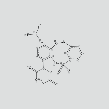 C=C(C)CC(C(=O)OC)c1cccc2c1OS(=O)(=O)c1cccc(c1)CO2.FC(F)F